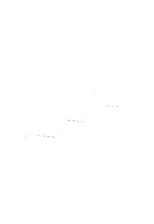 CC(C)P(C)OCCC(C)(C)C